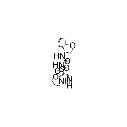 N=C/C(=C1\NCCCO1)S(=O)(=O)NC(=O)NC1CCOc2ccccc21